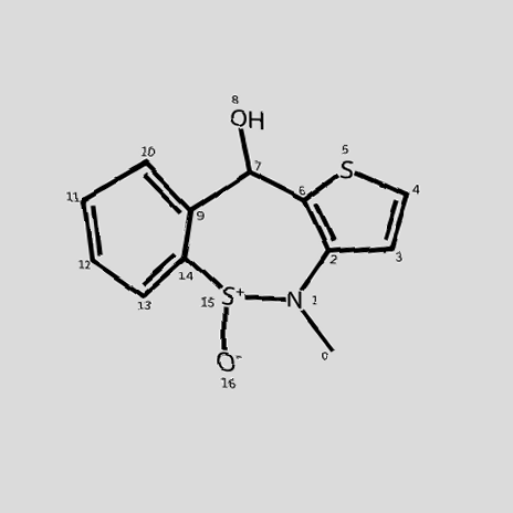 CN1c2ccsc2C(O)c2ccccc2[S+]1[O-]